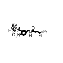 CCCC(CC)CCC(=O)NCc1ccc([N+](=O)[O-])c(C(C)OP(=O)(O)OC(C)C)c1